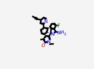 CC#Cc1ccnc(-c2cccc([C@@]3(c4cc(C)c(=O)n(CC)c4)N=C(N)c4c(F)cccc43)c2)c1